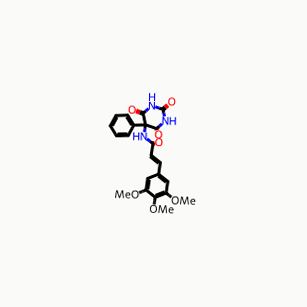 COc1cc(/C=C/C(=O)NC2(c3ccccc3)C(=O)NC(=O)NC2=O)cc(OC)c1OC